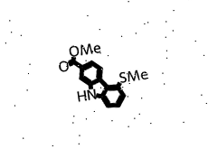 COC(=O)c1ccc2c(c1)[nH]c1cccc(SC)c12